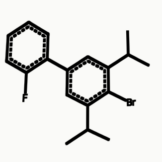 CC(C)c1cc(-c2ccccc2F)cc(C(C)C)c1Br